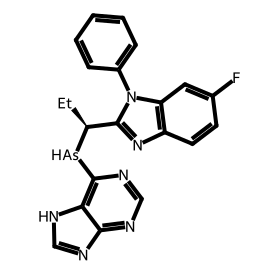 CC[C@H]([AsH]c1ncnc2nc[nH]c12)c1nc2ccc(F)cc2n1-c1ccccc1